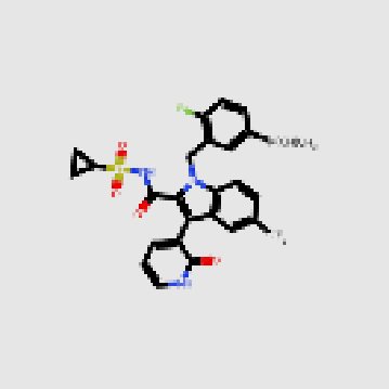 CN(O)c1ccc(F)c(Cn2c(C(=O)NS(=O)(=O)C3CC3)c(-c3ccc[nH]c3=O)c3cc(C(F)(F)F)ccc32)c1